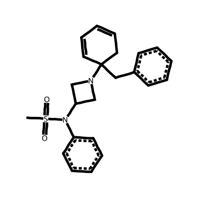 CS(=O)(=O)N(c1ccccc1)C1CN(C2(Cc3ccccc3)C=CC=CC2)C1